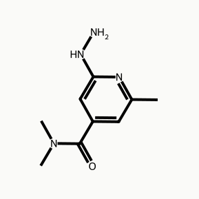 Cc1cc(C(=O)N(C)C)cc(NN)n1